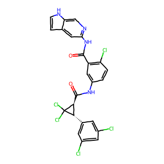 O=C(Nc1cc2cc[nH]c2cn1)c1cc(NC(=O)[C@H]2[C@H](c3cc(Cl)cc(Cl)c3)C2(Cl)Cl)ccc1Cl